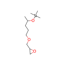 CC(CCCOCC1CO1)O[Si](C)(C)C